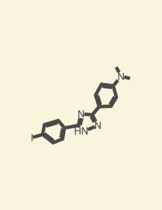 CN(C)c1ccc(-c2n[nH]c(-c3ccc(I)cc3)n2)cc1